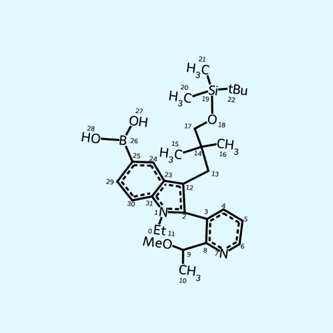 CCn1c(-c2cccnc2C(C)OC)c(CC(C)(C)CO[Si](C)(C)C(C)(C)C)c2cc(B(O)O)ccc21